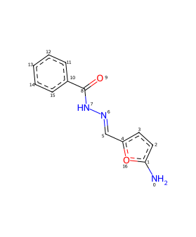 Nc1ccc(/C=N/NC(=O)c2ccccc2)o1